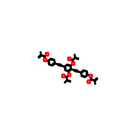 C=C(C)C(=O)Oc1ccc(C#Cc2cc(OC(=O)C(=C)C)c(C#Cc3ccc(OC(=O)C(=C)C)cc3)c(OC(=O)C(=C)C)c2)cc1